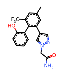 Cc1cc(-c2cnn(CC(N)=O)c2)c(-c2ccccc2O)c(C(F)(F)F)c1